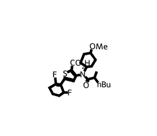 CCCCC(C)C(=O)N(c1cc(C2=C(F)CCCC2F)sc1C(=O)O)C1CCC(OC)CC1